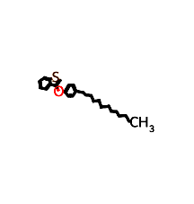 CCCCCCCCCCCCCc1ccc(Oc2csc3ccccc23)cc1